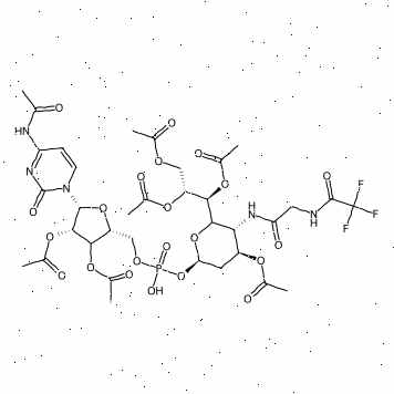 CC(=O)Nc1ccn([C@@H]2O[C@H](COP(=O)(O)O[C@@H]3C[C@H](OC(C)=O)[C@@H](NC(=O)CNC(=O)C(F)(F)F)C([C@H](OC(C)=O)[C@@H](COC(C)=O)OC(C)=O)O3)C(OC(C)=O)[C@@H]2OC(C)=O)c(=O)n1